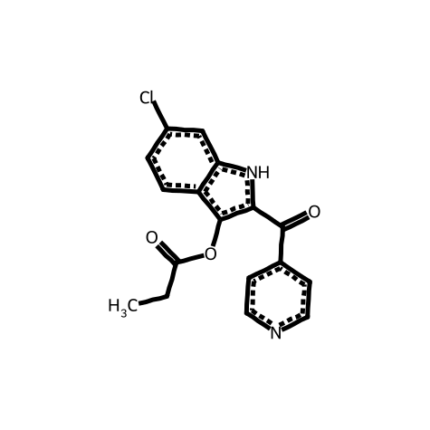 CCC(=O)Oc1c(C(=O)c2ccncc2)[nH]c2cc(Cl)ccc12